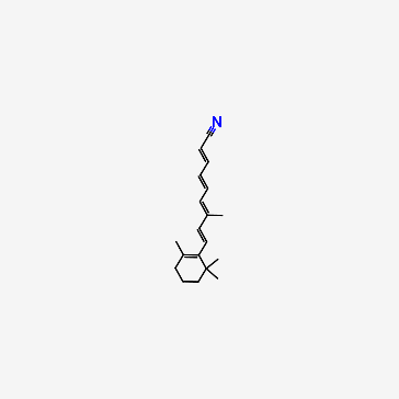 CC1=C(/C=C/C(C)=C/C=C/C=C/C#N)C(C)(C)CCC1